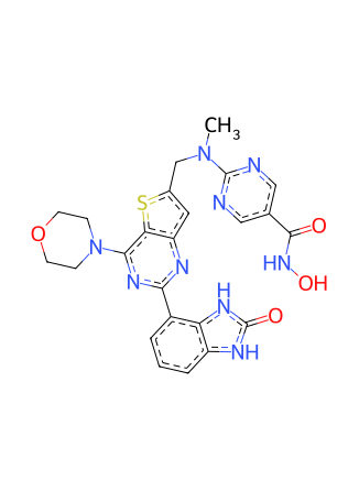 CN(Cc1cc2nc(-c3cccc4[nH]c(=O)[nH]c34)nc(N3CCOCC3)c2s1)c1ncc(C(=O)NO)cn1